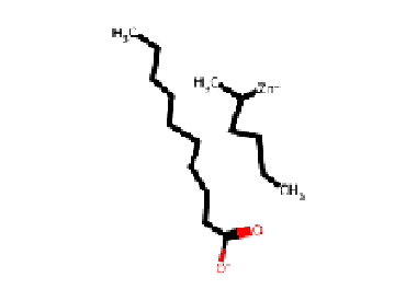 CCCCCCCCCC(=O)[O-].CCCC[CH](C)[Zn+]